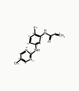 C=CC(=O)Nc1cc(Nc2ncc(Cl)cn2)ccc1F